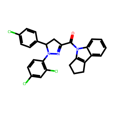 O=C(C1=NN(c2ccc(Cl)cc2Cl)C(c2ccc(Cl)cc2)C1)n1c2c(c3ccccc31)CCC2